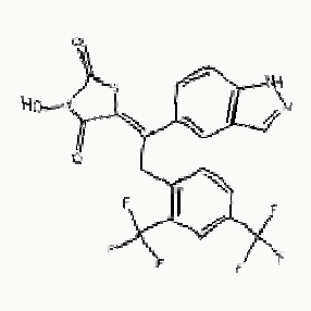 O=C1S/C(=C(/Cc2ccc(C(F)(F)F)cc2C(F)(F)F)c2ccc3[nH]ncc3c2)C(=O)N1O